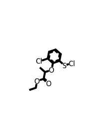 CCOC(=O)C(C)Oc1c(Cl)cccc1SCl